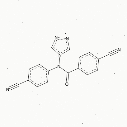 N#Cc1ccc(C(=O)N(c2ccc(C#N)cc2)n2cnnc2)cc1